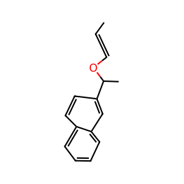 CC=COC(C)c1ccc2ccccc2c1